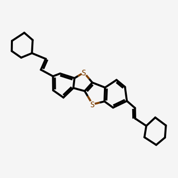 C(=CC1CCCCC1)c1ccc2c(c1)sc1c3ccc(C=CC4CCCCC4)cc3sc21